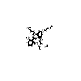 COCCOc1cc(OCCOC)c(PC(=O)c2c(Cl)cccc2Cl)c(OCCOC)c1.[LiH]